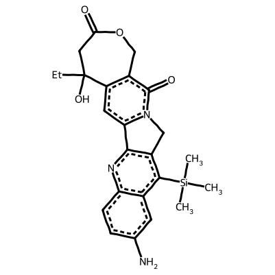 CCC1(O)CC(=O)OCc2c1cc1n(c2=O)Cc2c-1nc1ccc(N)cc1c2[Si](C)(C)C